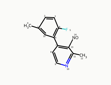 Cc1ccc(F)c(-c2ccnc(C)c2N=O)c1